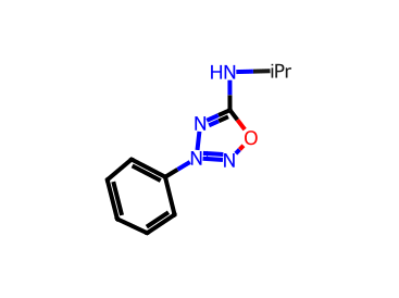 CC(C)Nc1n[n+](-c2ccccc2)no1